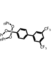 CCCO[Si](OCCC)(OCCC)c1ccc(-c2cc(C(F)(F)F)cc(C(F)(F)F)c2)cc1